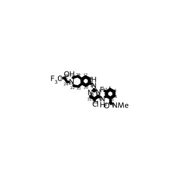 CNC(=O)c1cccc(F)c1Nc1nc(Nc2ccc3c(c2)CCN(CC(O)C(F)(F)F)CC3)ncc1Cl